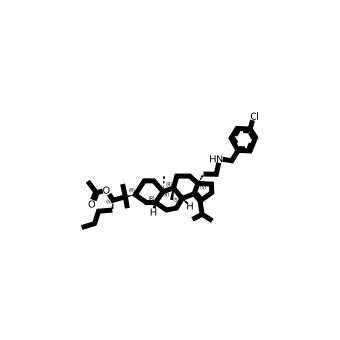 CCCC[C@H](OC(C)=O)C(C)(C)[C@@H]1CC[C@]2(C)[C@H](CC[C@@H]3C4=C(C(C)C)CC[C@]4(CCNCc4ccc(Cl)cc4)CC[C@]32C)C1